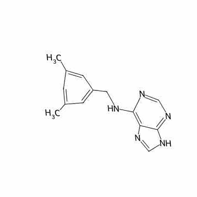 Cc1cc(C)cc(CNc2ncnc3[nH]cnc23)c1